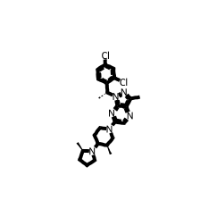 Cc1nn([C@H](C)c2ccc(Cl)cc2Cl)c2nc(N3CCC(N4CCC[C@H]4C)[C@H](C)C3)cnc12